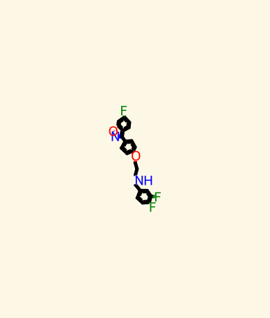 Fc1ccc2c(-c3ccc(OCCCNCc4ccc(F)c(F)c4)cc3)noc2c1